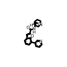 O=C(N[C@H]1CN2CCC1CC2)c1cc2cccc(-c3cccnc3)c2o1